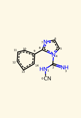 N#CNC(=N)n1ccnc1-c1ccccc1